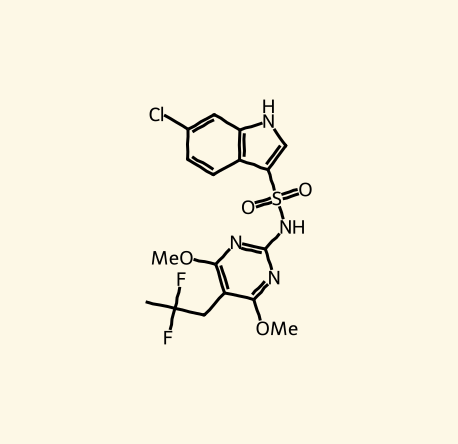 COc1nc(NS(=O)(=O)c2c[nH]c3cc(Cl)ccc23)nc(OC)c1CC(C)(F)F